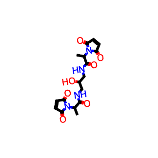 CC(C(=O)NCC(O)CNC(=O)C(C)N1C(=O)C=CC1=O)N1C(=O)C=CC1=O